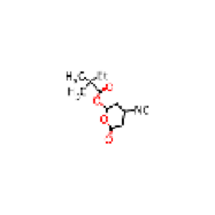 [C-]#[N+]C1CC(=O)OC(OC(=O)C(C)(C)CC)C1